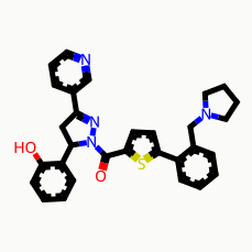 O=C(c1ccc(-c2ccccc2CN2CCCC2)s1)N1N=C(c2cccnc2)CC1c1ccccc1O